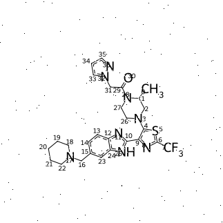 CC1CN(c2sc(C(F)(F)F)nc2-c2nc3ccc(CN4CCCCC4)cc3[nH]2)CCN1C(=O)Cn1cccn1